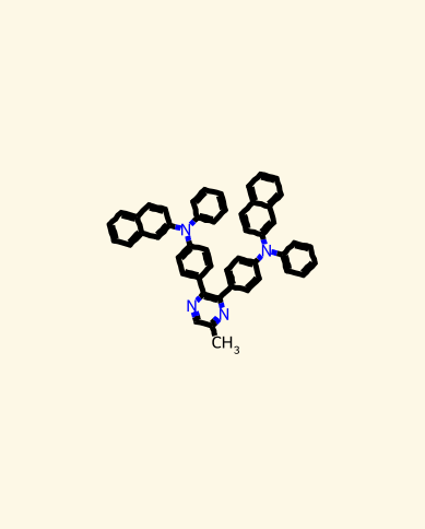 Cc1cnc(-c2ccc(N(c3ccccc3)c3ccc4ccccc4c3)cc2)c(-c2ccc(N(c3ccccc3)c3ccc4ccccc4c3)cc2)n1